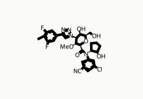 CO[C@@H]1[C@@H](n2cc(-c3cc(F)c(C)c(F)c3)nn2)[C@@H](O)[C@@H](CO)O[C@H]1C(=O)N(c1cc(Cl)cc(C#N)c1)[C@@H]1CCC[C@H]1O